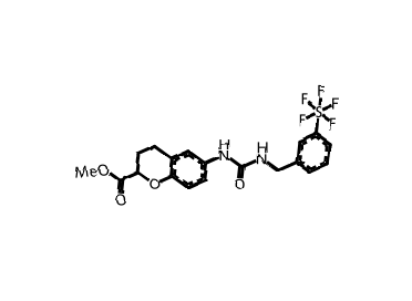 COC(=O)C1CCc2cc(NC(=O)NCc3cccc(S(F)(F)(F)(F)F)c3)ccc2O1